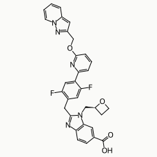 O=C(O)c1ccc2nc(Cc3cc(F)c(-c4cccc(OCc5cc6ccccn6n5)n4)cc3F)n(C[C@@H]3CCO3)c2c1